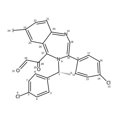 C[C@H](c1ccc(Cl)cc1)N1C(c2ccc(Cl)cc2)=CN=c2ccc(I)cc2=C1C(=O)C=O